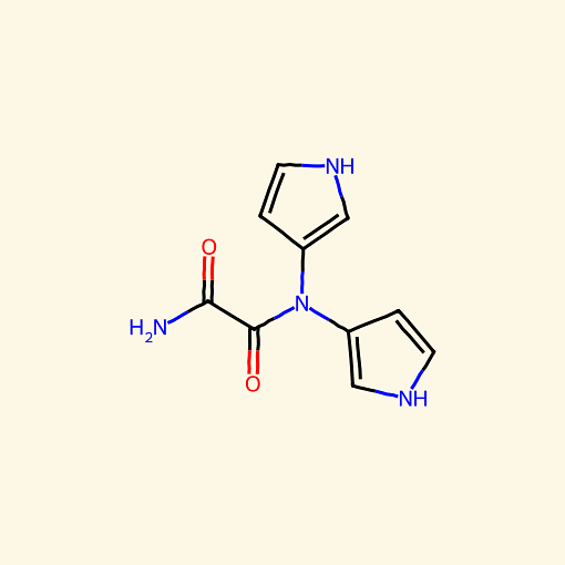 NC(=O)C(=O)N(c1cc[nH]c1)c1cc[nH]c1